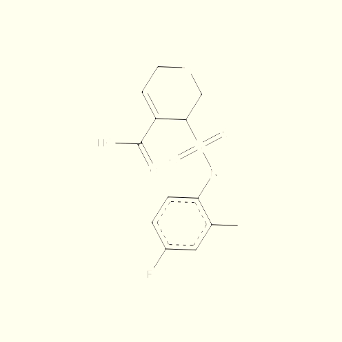 O=C(O)C1=CCOCC1S(=O)(=O)Nc1ccc(F)cc1F